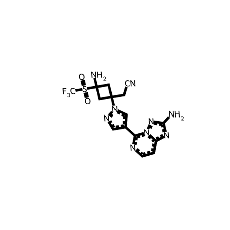 N#CCC1(n2cc(-c3nccc4nc(N)nn34)cn2)CC(N)(S(=O)(=O)C(F)(F)F)C1